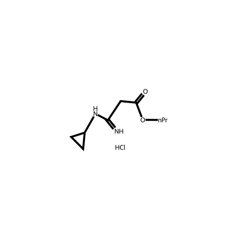 CCCOC(=O)CC(=N)NC1CC1.Cl